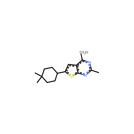 CCOC(=O)c1nc(C)nc2sc(C3CCC(C)(C)CC3)cc12